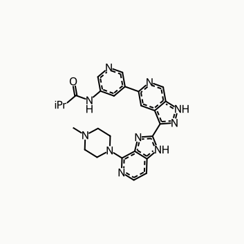 CC(C)C(=O)Nc1cncc(-c2cc3c(-c4nc5c(N6CCN(C)CC6)nccc5[nH]4)n[nH]c3cn2)c1